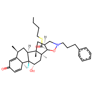 CCCCSC(=O)[C@@]12ON(CCCc3ccccc3)C[C@@H]1C[C@@]1(C)[C@@H]3C[C@H](C)C4=CC(=O)C=C[C@]4(C)[C@@]3(F)[C@@H](O)C[C@@]12C